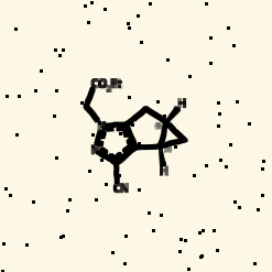 CCOC(=O)Cn1nc(C#N)c2c1C[C@@H]1C[C@H]21